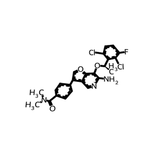 C[C@@H](Oc1c(N)ncc2c(-c3ccc(C(=O)N(C)C)cc3)coc12)c1c(Cl)ccc(F)c1Cl